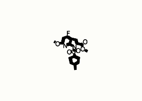 COC(=O)c1cc2c(F)cc(OC)nc2n1S(=O)(=O)c1ccc(C)cc1